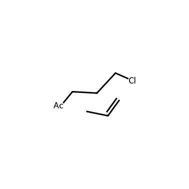 C=CC.CC(=O)CCCCl